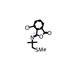 CSCC(C)(C)/N=C1\OC(=O)c2cccc(Cl)c21